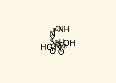 CC(O)[C@H]1C(=O)N2C(C(=O)O)=C(SC3CN(C[C@@H]4CCNC4)C3)[C@H](C)[C@H]12